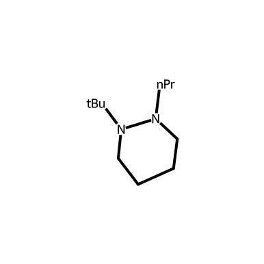 CCCN1CCCCN1C(C)(C)C